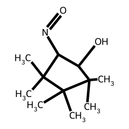 CC1(C)C(O)C(N=O)C(C)(C)C1(C)C